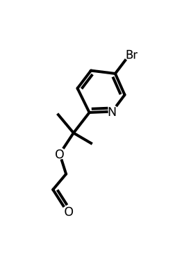 CC(C)(OCC=O)c1ccc(Br)cn1